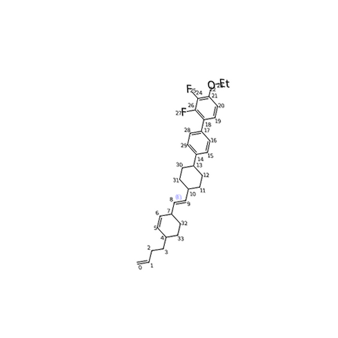 C=CCCC1C=CC(/C=C/C2CCC(c3ccc(-c4ccc(OCC)c(F)c4F)cc3)CC2)CC1